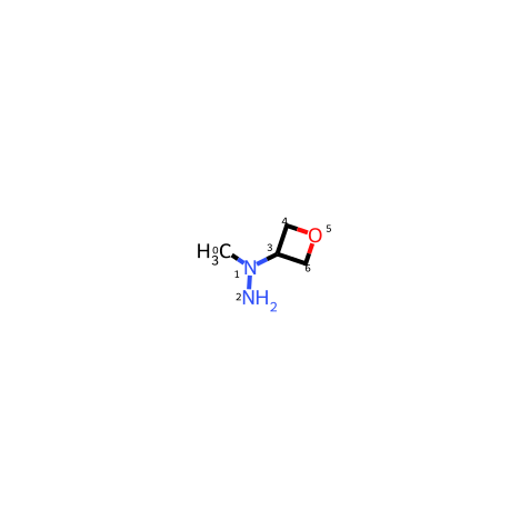 CN(N)C1COC1